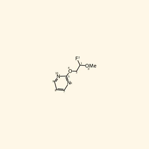 COC(F)COc1ncccn1